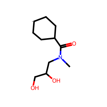 CN(CC(O)CO)C(=O)C1CC[CH]CC1